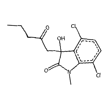 CCCC(=O)CC1(O)C(=O)N(C)c2c(Cl)ccc(Cl)c21